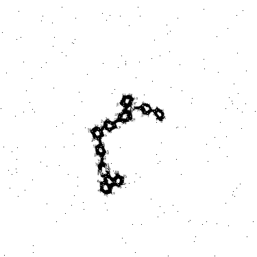 C1=CC(c2ccccc2)CC=C1n1c2ccccc2c2cc(-c3ccc(-c4cccc(-c5ccc(-c6cnc7c8ccccc8c8ccccc8c7n6)cc5)c4)cc3)ccc21